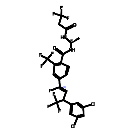 C[C@H](NC(=O)CC(F)(F)F)NC(=O)c1ccc(/C(F)=C/C(c2cc(Cl)cc(Cl)c2)C(F)(F)F)cc1C(F)(F)F